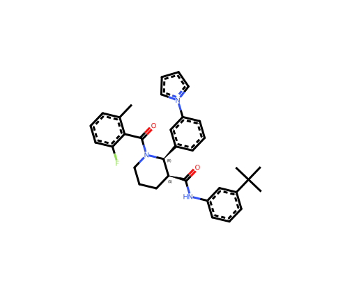 Cc1cccc(F)c1C(=O)N1CCC[C@H](C(=O)Nc2cccc(C(C)(C)C)c2)[C@@H]1c1cccc(-n2cccc2)c1